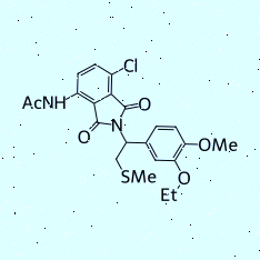 CCOc1cc(C(CSC)N2C(=O)c3c(Cl)ccc(NC(C)=O)c3C2=O)ccc1OC